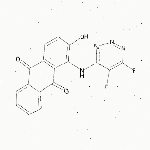 O=C1c2ccccc2C(=O)c2c1ccc(O)c2Nc1nnnc(F)c1F